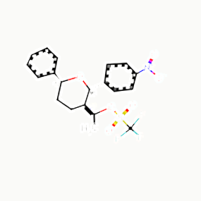 C/C(OS(=O)(=O)C(F)(F)F)=C1\CC[C@@H](c2ccccc2)O[C@@H]1c1ccc([N+](=O)[O-])cc1